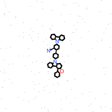 N#Cc1cc(-n2c3ccccc3c3ccccc32)ccc1-c1ccc(-n2c3ccccc3c3c4c(ccc32)oc2ccccc24)cc1